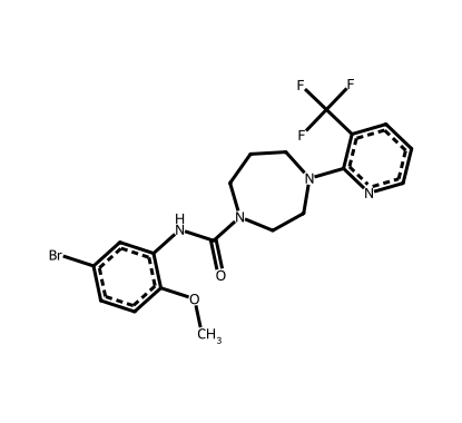 COc1ccc(Br)cc1NC(=O)N1CCCN(c2ncccc2C(F)(F)F)CC1